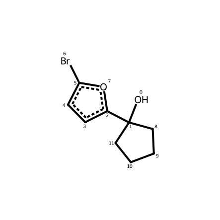 OC1(c2ccc(Br)o2)CCCC1